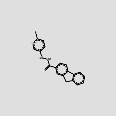 O=C(NNc1ccc(F)nc1)c1ccc2c(c1)Cc1ccccc1-2